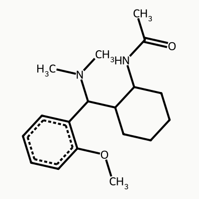 COc1ccccc1C(C1CCCCC1NC(C)=O)N(C)C